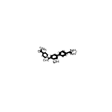 COC(=O)C1CCN(C(C=O)c2ccc(-c3ccc(C(=N)N)cc3)cc2)CC1.Cl